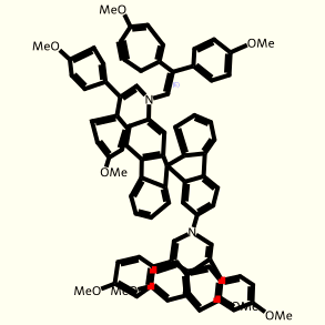 COC1=CC=C(/C(=C\N(C=C(c2ccc(OC)cc2)c2ccc(OC)cc2)C2=CC3=C(CC2)c2ccccc2C32c3ccccc3-c3ccc(N(C=C(c4ccc(OC)cc4)c4ccc(OC)cc4)C=C(c4ccc(OC)cc4)c4ccc(OC)cc4)cc32)c2ccc(OC)cc2)CC#C1